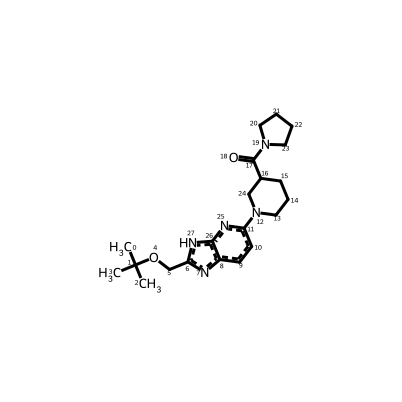 CC(C)(C)OCc1nc2ccc(N3CCCC(C(=O)N4CCCC4)C3)nc2[nH]1